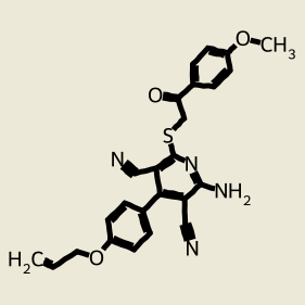 C=CCOc1ccc(-c2c(C#N)c(N)nc(SCC(=O)c3ccc(OC)cc3)c2C#N)cc1